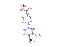 CC(C)(C)OC(=O)N1CCN(c2nnc([N+](=O)[O-])c(N)n2)CC1